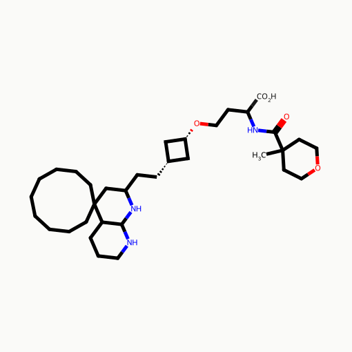 CC1(C(=O)NC(CCO[C@H]2C[C@@H](CCC3CC4(CCCCCCCCC4)C4CCCNC4N3)C2)C(=O)O)CCOCC1